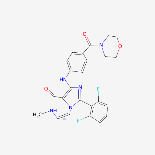 CN/C=C\n1c(-c2c(F)cccc2F)nc(Nc2ccc(C(=O)N3CCOCC3)cc2)c1C=O